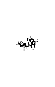 CN(C(=O)c1cc2oc(Cl)cc2[nH]1)[C@H]1COCc2[nH]c(=O)c3cc(F)c(F)cc3c21